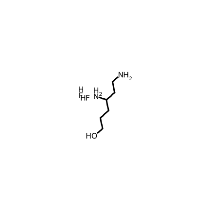 F.F.NCCC(N)CCCO